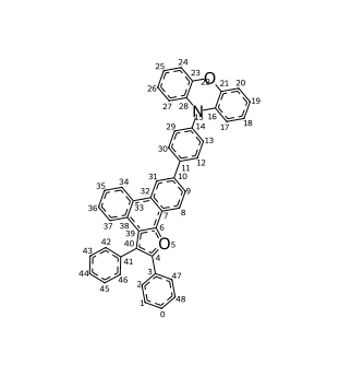 c1ccc(-c2oc3c4ccc(-c5ccc(N6c7ccccc7Oc7ccccc76)cc5)cc4c4ccccc4c3c2-c2ccccc2)cc1